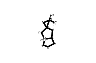 FC1(F)CC12CC1CCCN1C2